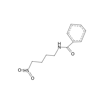 O=C(NCCCC[SH](=O)=O)c1ccccc1